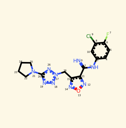 N=C(Nc1ccc(F)c(Cl)c1)c1nonc1Cn1nnc(N2CCCC2)n1